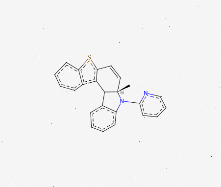 C[C@]12C=Cc3sc4ccccc4c3C1c1ccccc1N2c1ccccn1